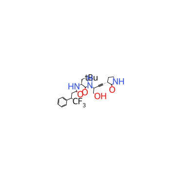 CC(C)(C)C[C@H](NC(=O)CC(c1ccccc1)C(F)(F)F)C(=O)NC(C#C[C@@H]1CCNC1=O)CO